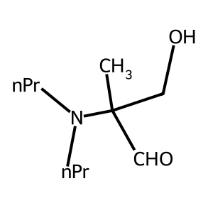 CCCN(CCC)C(C)(C=O)CO